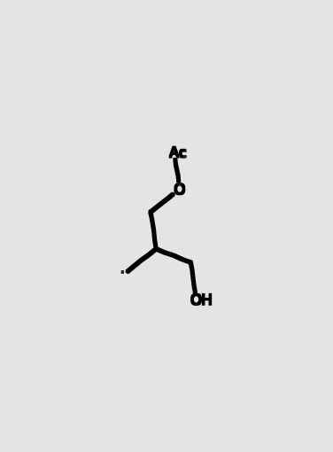 [CH2]C(CO)COC(C)=O